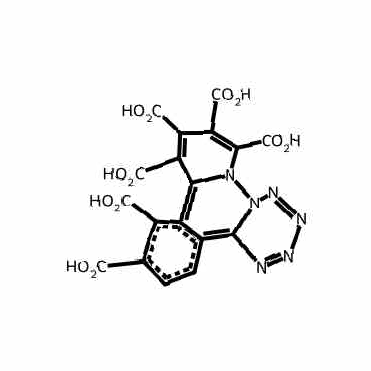 O=C(O)C1=C(C(=O)O)C2=c3c(C(=O)O)c(C(=O)O)ccc3=C3N=NN=NN3N2C(C(=O)O)=C1C(=O)O